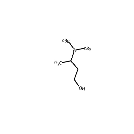 CCCCN(CCCC)C(C)CCO